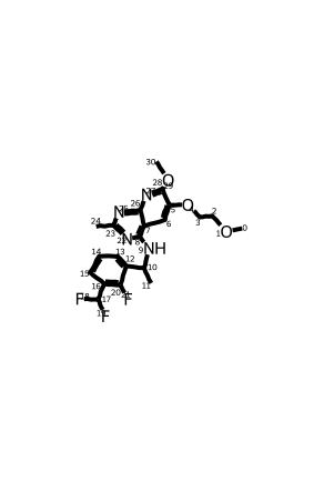 COCCOc1cc2c(NC(C)c3cccc(C(F)F)c3F)nc(C)nc2nc1OC